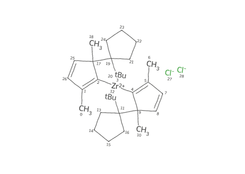 CC1=[C]([Zr+2][C]2=C(C)C=CC2(C)C2(C(C)(C)C)CCCC2)C(C)(C2(C(C)(C)C)CCCC2)C=C1.[Cl-].[Cl-]